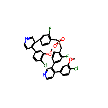 COc1cc(-c2ccncc2-c2ccc(CS(=O)(=O)Cc3ccc(-c4cnccc4-c4ccc(Cl)c(OC)c4)cc3F)c(F)c2)ccc1Cl